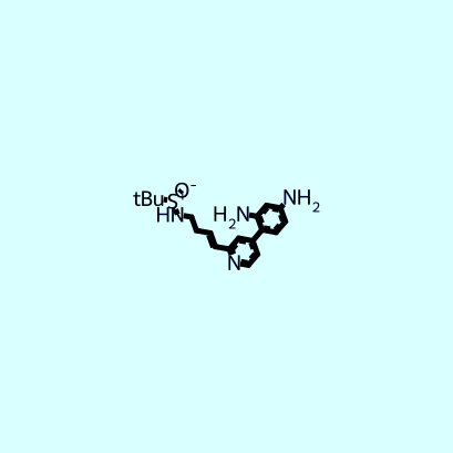 CC(C)(C)[S+]([O-])NCCC=Cc1cc(-c2ccc(N)cc2N)ccn1